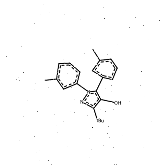 Cc1cccc(-c2c(O)c(C(C)(C)C)nn2-c2cccc(C)c2)c1